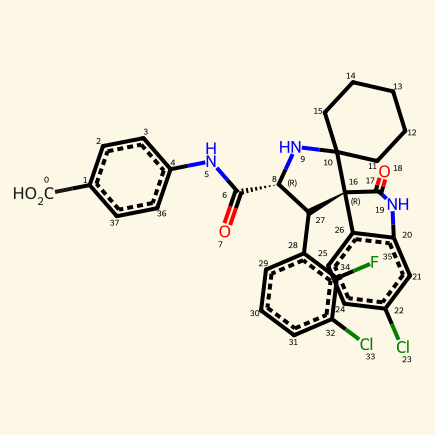 O=C(O)c1ccc(NC(=O)[C@@H]2NC3(CCCCC3)[C@@]3(C(=O)Nc4cc(Cl)ccc43)C2c2cccc(Cl)c2F)cc1